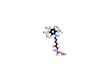 Cc1c(C)c(C)c(NCCCCC(=O)CNC(=O)OC(C)(C)C)c(C)c1C